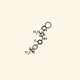 CS(=O)(=O)N1CCN(c2ccc(Nc3nc(N)n(-c4ncc5c(n4)CCCCCC5)n3)cc2F)CC1